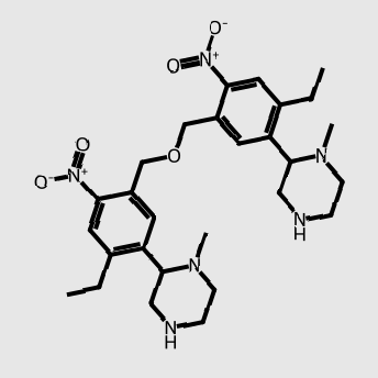 CCc1cc([N+](=O)[O-])c(COCc2cc(C3CNCCN3C)c(CC)cc2[N+](=O)[O-])cc1C1CNCCN1C